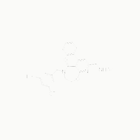 CC(=O)NCc1cc(-c2ccccc2)c2c(n1)OCCN(Cc1cc(C(F)(F)F)cc(C(F)(F)F)c1)C2=O